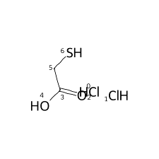 Cl.Cl.O=C(O)CS